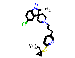 C=C1Nc2ccc(Cl)cc2C12CCN(CCCc1ccc(SC3(CC)CC3)nc1)CC2